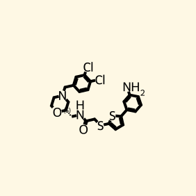 Nc1cccc(-c2ccc(SCC(=O)NC[C@H]3CN(Cc4ccc(Cl)c(Cl)c4)CCO3)s2)c1